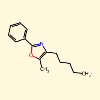 [CH2]CCCCc1nc(-c2ccccc2)oc1C